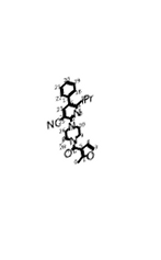 Cc1occc1C(=O)N1CCN(c2nc(C(C)C)c(-c3ccccc3)cc2C#N)C[C@H]1C